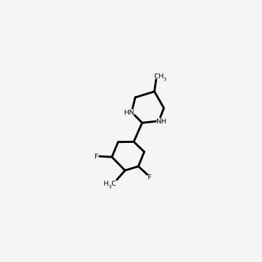 CC1CNC(C2CC(F)C(C)C(F)C2)NC1